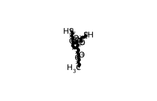 CCCCOC(=O)/C=C/c1ccc(OC(=O)CCS)c(OC(=O)CCS)c1